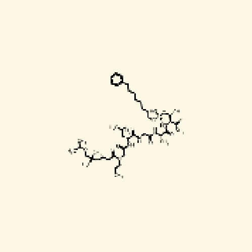 CCCN(CC(=O)N[C@@H](CC(C)C)C(=O)NCC(=O)N[C@@H](C)C(=O)N[C@H](C(N)=O)[C@@H](C)OP(=O)(O)OCCCCCCCCc1ccccc1)C(=O)CCOC(C)(C)COC(C)C